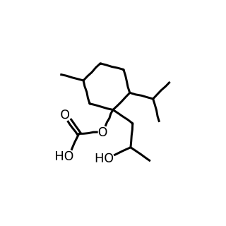 CC(O)CC1(OC(=O)O)CC(C)CCC1C(C)C